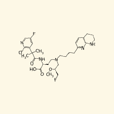 CO[C@H](CF)CN(CCCCc1ccc2c(n1)NCCC2)CC[C@H](NC(=O)C(C)(C)c1cc(F)cnc1Cl)C(=O)O